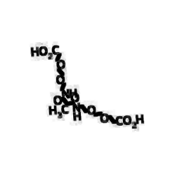 CC(C(=O)NCCOCCOCCC(=O)O)C(=O)NCCOCCOCCC(=O)O